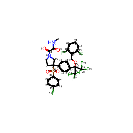 CNC(=O)C(=O)N1CCC(c2ccc(C(OCc3c(F)cccc3F)(C(F)(F)F)C(F)(F)F)cc2)(S(=O)(=O)c2ccc(F)cc2)C1